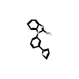 Nc1nc2ccccc2n1-c1cccc(-c2cccs2)c1